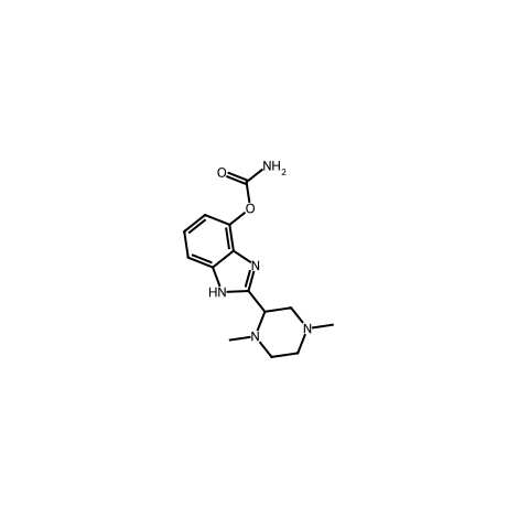 CN1CCN(C)C(c2nc3c(OC(N)=O)cccc3[nH]2)C1